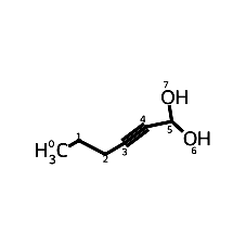 CCCC#CC(O)O